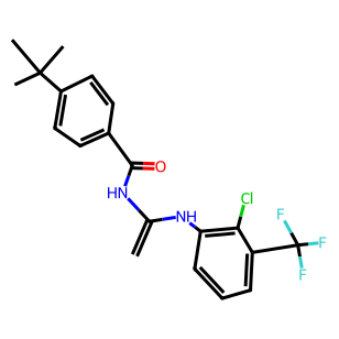 C=C(NC(=O)c1ccc(C(C)(C)C)cc1)Nc1cccc(C(F)(F)F)c1Cl